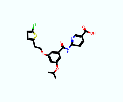 CC(C)Oc1cc(OCCc2ccc(Cl)s2)cc(C(=O)Nc2ccc(C(=O)O)cn2)c1